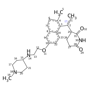 C/C=C(\c1c(C)ccc2cc(OCCNC3CCN(C)CC3)ccc12)C1CCC(=O)NC1=O